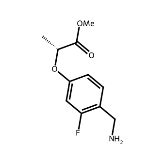 COC(=O)[C@@H](C)Oc1ccc(CN)c(F)c1